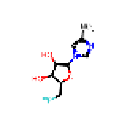 O=[N+]([O-])c1cn(C2OC(C[18F])C(O)C2O)cn1